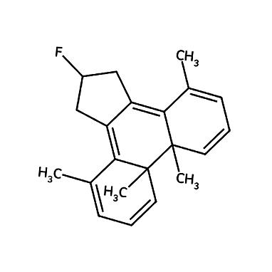 CC1=CC=CC2(C)C1=C1CC(F)CC1=C1C(C)=CC=CC12C